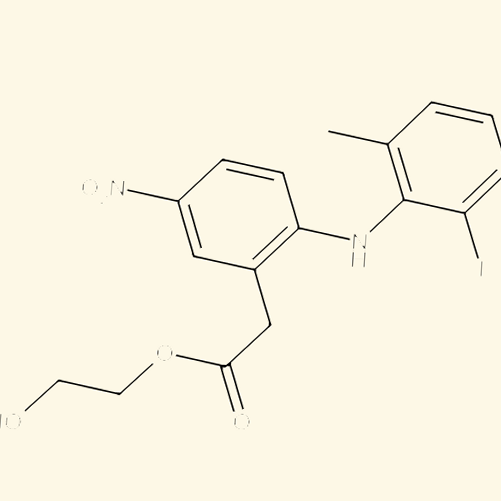 Cc1cccc(I)c1Nc1ccc([N+](=O)[O-])cc1CC(=O)OCCO